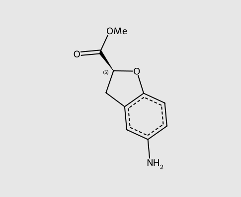 COC(=O)[C@@H]1Cc2cc(N)ccc2O1